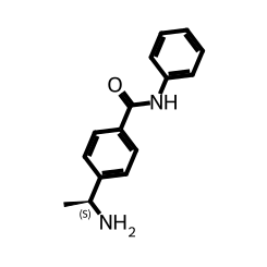 C[C@H](N)c1ccc(C(=O)Nc2ccccc2)cc1